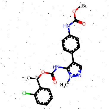 C[C@@H](OC(=O)Nc1c(-c2ccc(NC(=O)OC(C)(C)C)cc2)cnn1C)c1ccccc1Cl